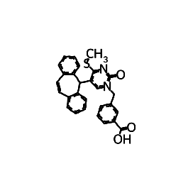 CSc1nc(=O)n(Cc2cccc(C(=O)O)c2)cc1C1c2ccccc2C=Cc2ccccc21